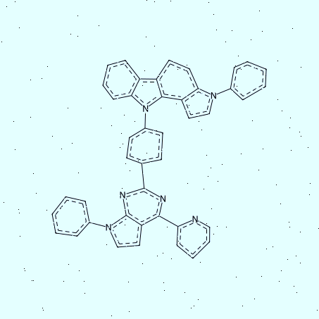 c1ccc(-n2ccc3c2ccc2c4ccccc4n(-c4ccc(-c5nc(-c6ccccn6)c6ccn(-c7ccccc7)c6n5)cc4)c23)cc1